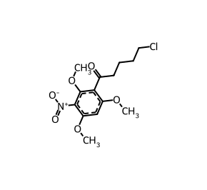 COc1cc(OC)c([N+](=O)[O-])c(OC)c1C(=O)CCCCCl